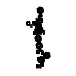 CCOc1cncc(-c2ccccc2CCC(=O)N2CCN(c3ccc(C(=O)NS(=O)(=O)c4ccc(NCCSc5ccccc5)c([N+](=O)[O-])c4)cc3)CC2)c1